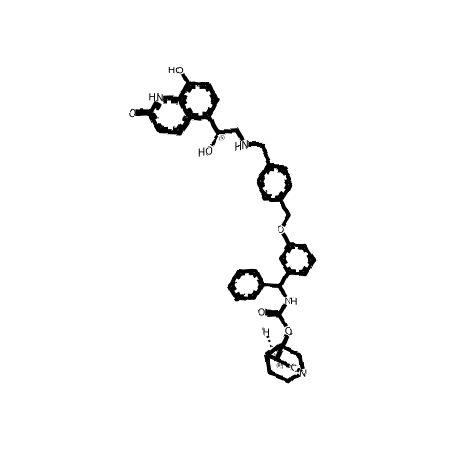 O=C(NC(c1ccccc1)c1cccc(OCc2ccc(CNC[C@@H](O)c3ccc(O)c4[nH]c(=O)ccc34)cc2)c1)O[C@H]1CN2CCC1CC2